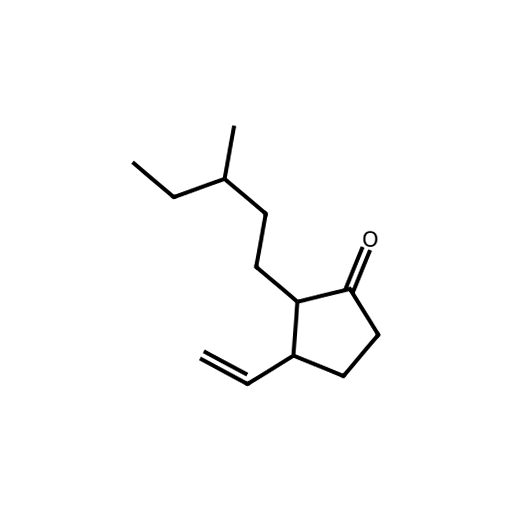 C=CC1CCC(=O)C1CCC(C)CC